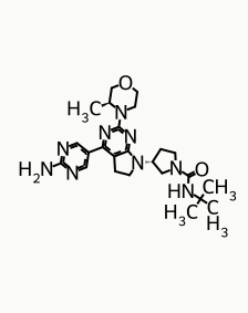 C[C@H]1COCCN1c1nc(-c2cnc(N)nc2)c2c(n1)N([C@@H]1CCN(C(=O)NC(C)(C)C)C1)CC2